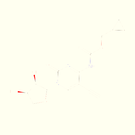 C#Cc1cn([C@@H]2O[C@H](C)[C@@H](O)[C@H]2O)c(=O)nc1NC(=O)OCC1CC1